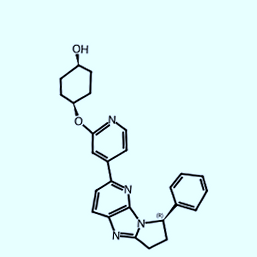 O[C@H]1CC[C@@H](Oc2cc(-c3ccc4nc5n(c4n3)[C@@H](c3ccccc3)CC5)ccn2)CC1